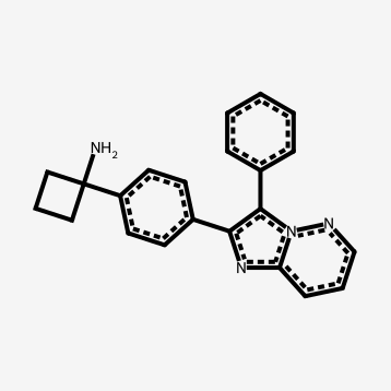 NC1(c2ccc(-c3nc4cccnn4c3-c3ccccc3)cc2)CCC1